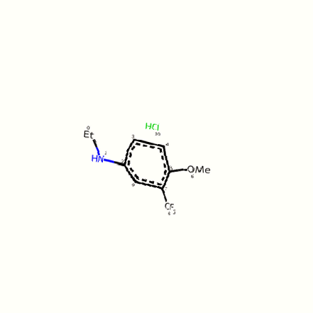 CCNc1ccc(OC)c(C(F)(F)F)c1.Cl